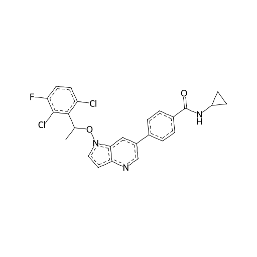 CC(On1ccc2ncc(-c3ccc(C(=O)NC4CC4)cc3)cc21)c1c(Cl)ccc(F)c1Cl